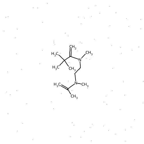 C=C(C)N(C)CCN(C)C(=C)C(C)(C)C